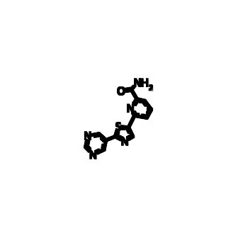 NC(=O)c1cccc(-c2cnc(-c3cncnc3)s2)n1